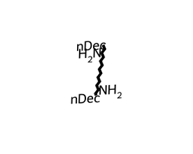 CCCCCCCCCCCC(N)CCCCCCCCC(N)CCCCCCCCCCC